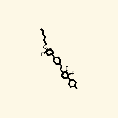 CCCCCCOc1ccc(C2CCC(CCc3ccc(C4CCC(C)CC4)c(F)c3F)CC2)cc1F